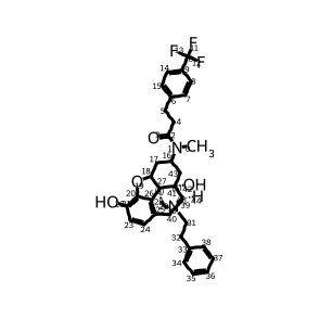 CN(C(=O)CCc1ccc(C(F)(F)F)cc1)C1CC2Oc3c(O)ccc4c3[C@@]23CCN(CCc2ccccc2)[C@H](C4)[C@]3(O)C1